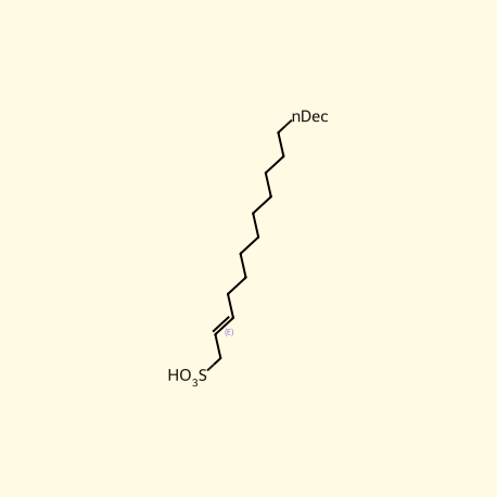 CCCCCCCCCCCCCCCCCCC/C=C/CS(=O)(=O)O